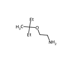 CCC(C)(CC)OCCN